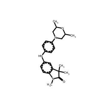 CC1CN(c2ccc(Nc3ccc4c(c3)C(C)(C)C(=O)N4C)cc2)CC(C)O1